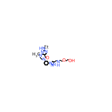 CCNc1ncc2c(n1)N(C)CCN(c1cccc(-n3cc(CNCCOCCO)nn3)c1)C2=O